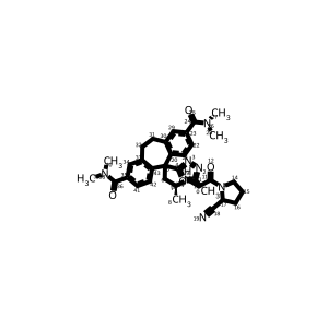 Cc1nnc(C2(C[C@H](C)NCC(=O)N3CCCC3C#N)c3ccc(C(=O)N(C)C)cc3CCc3cc(C(=O)N(C)C)ccc32)o1